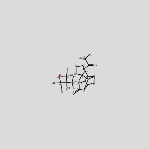 C=C(C)C(=O)OC1C2OC(=O)C3C2OC1C3C1(OC(C)(C)C(O)(C(F)(F)F)C(F)(F)F)CCCC1